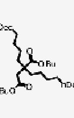 CCCCCCCCCCCCCCC(CCCCCCCCCCCCCC)(CC(=O)OCC(C)C)C(=O)OCC(C)C